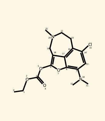 CCOC(=O)Oc1oc2c(N(C)C)cc(Cl)c3c2c1CN(C)CC3